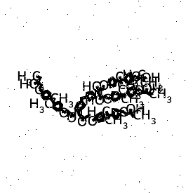 CCC(O)COc1ccc(C(C)(C)c2ccc(OCC3OC3N(c3ccc(Cc4ccc(N(C(O)COc5ccc(C(C)(C)c6ccc(OCC(O)CC)cc6)cc5)C(O)COc5ccc(C(C)(C)c6ccc(OCC(C)(C)O)cc6)cc5)cc4)cc3)C3OC3COc3ccc(C(C)(C)c4ccc(OCC(O)CC)cc4)cc3)cc2)cc1